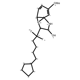 COC1=CC23NC(O)C(C(F)(F)CCCCC4CCCC4)N2C3C=C1